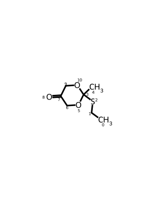 CCSC1(C)OCC(=O)CO1